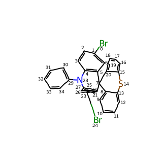 Brc1ccc2c(c1)C1(c3ccccc3Sc3ccccc31)c1cc(Br)ccc1N2c1ccccc1